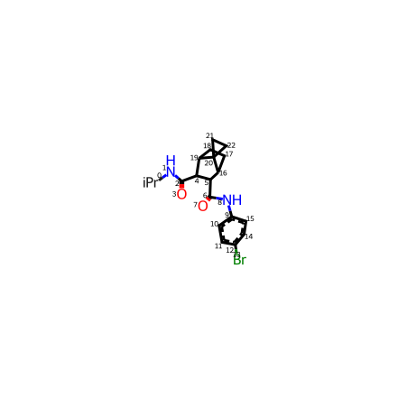 CC(C)NC(=O)C1C(C(=O)Nc2ccc(Br)cc2)C2CCC1C21CC1